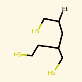 CCC(CS)CC(CS)CCS